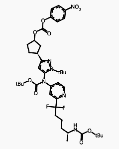 C[C@@H](CCCC(F)(F)c1cc(N(C(=O)OC(C)(C)C)c2cc([C@H]3CC[C@@H](OC(=O)Oc4ccc([N+](=O)[O-])cc4)C3)nn2C(C)(C)C)ccn1)NC(=O)OC(C)(C)C